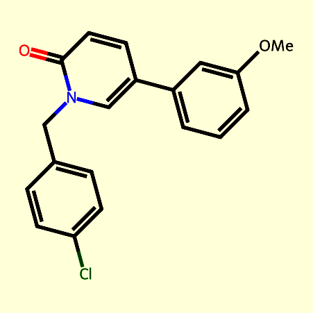 COc1cccc(-c2ccc(=O)n(Cc3ccc(Cl)cc3)c2)c1